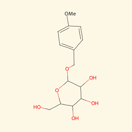 COc1ccc(COC2OC(CO)C(O)C(O)C2O)cc1